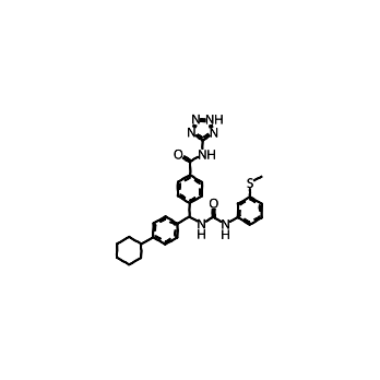 CSc1cccc(NC(=O)NC(c2ccc(C(=O)Nc3nn[nH]n3)cc2)c2ccc(C3CCCCC3)cc2)c1